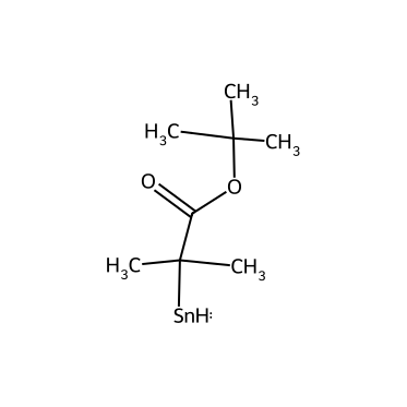 CC(C)(C)OC(=O)[C](C)(C)[SnH]